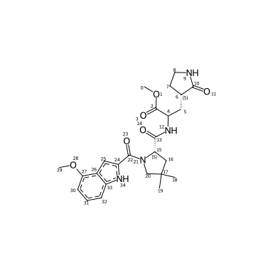 COC(=O)C(C[C@@H]1CCNC1=O)NC(=O)[C@@H]1CC(C)(C)CN1C(=O)c1cc2c(OC)cccc2[nH]1